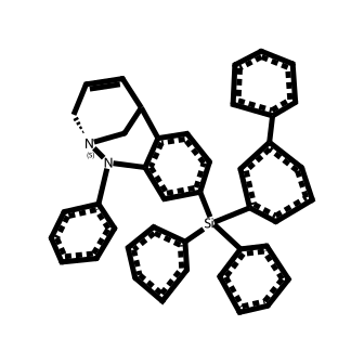 C1=CC2C[N@@](C1)N(c1ccccc1)c1cc([Si](c3ccccc3)(c3ccccc3)c3cccc(-c4ccccc4)c3)ccc12